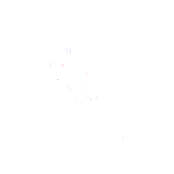 CCCC[C@H](NC(=O)[C@H](Cc1cccc2ccccc12)C[S+]([O-])c1ccc(O)cc1)C(=O)N[C@@H](CC1CCCCC1)[C@@H](O)[C@@H](O)CN1CCOCC1